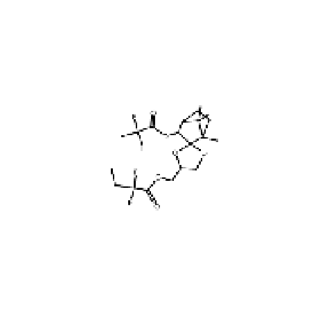 CCC(F)(F)C(=O)OCC1COC2(O1)C(OC(=O)C(C)(F)F)C1CCC2(C)C1(C)C